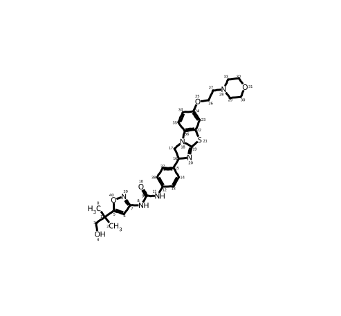 CC(C)(CO)c1cc(NC(=O)Nc2ccc(C3CN4C(=N3)Sc3cc(OCCN5CCOCC5)ccc34)cc2)no1